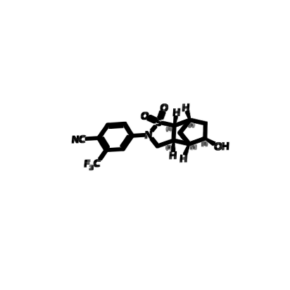 N#Cc1ccc(N2C[C@H]3[C@@H]4C[C@@H](C[C@H]4O)[C@H]3S2(=O)=O)cc1C(F)(F)F